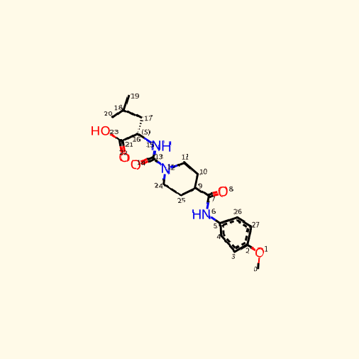 COc1ccc(NC(=O)C2CCN(C(=O)N[C@@H](CC(C)C)C(=O)O)CC2)cc1